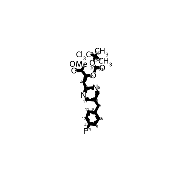 COC(=O)C(=Cc1ncc(Cc2ccc(F)cc2)cn1)OC(=O)OC(C)(C)C(Cl)(Cl)Cl